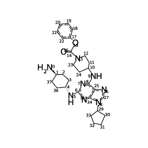 N[C@H]1CC[C@H](Nc2nc(NC3CCN(C(=O)Oc4ccccc4)CC3)c3ncn(C4CCCC4)c3n2)CC1